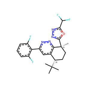 CC(C)(C)[C@H]1CC[C@](C)(c2nnc(C(F)F)o2)c2nnc(-c3c(F)cccc3F)cc21